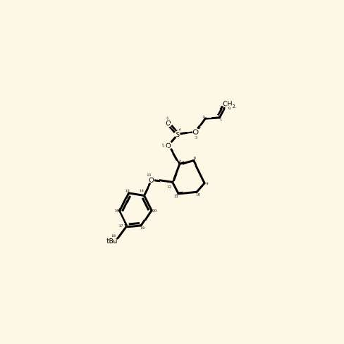 C=CCOS(=O)OC1CCCCC1Oc1ccc(C(C)(C)C)cc1